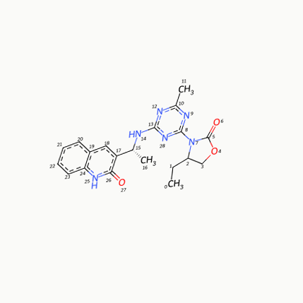 CCC1COC(=O)N1c1nc(C)nc(N[C@H](C)c2cc3ccccc3[nH]c2=O)n1